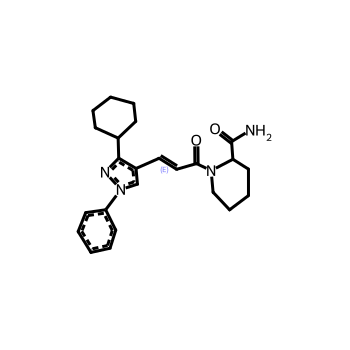 NC(=O)C1CCCCN1C(=O)/C=C/c1cn(-c2ccccc2)nc1C1CCCCC1